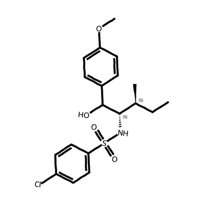 CC[C@H](C)[C@H](NS(=O)(=O)c1ccc(Cl)cc1)C(O)c1ccc(OC)cc1